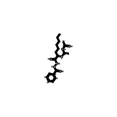 CCCCCCC(OC(C)OC(C)=O)C(=O)OOC(=O)c1ccccc1